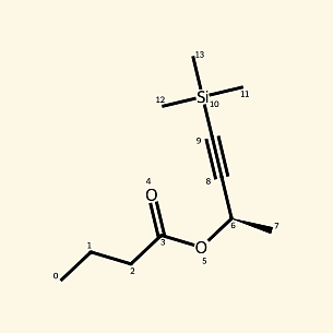 CCCC(=O)O[C@H](C)C#C[Si](C)(C)C